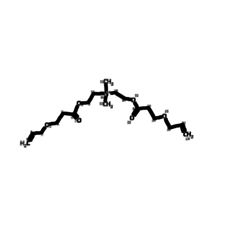 C=CCOCCC(=O)OCC[N+](C)(C)CCOC(=O)CCOCC=C